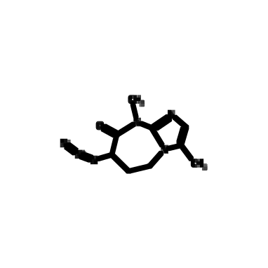 Cc1cnc2n1CCC(N=[N+]=[N-])C(=O)N2C